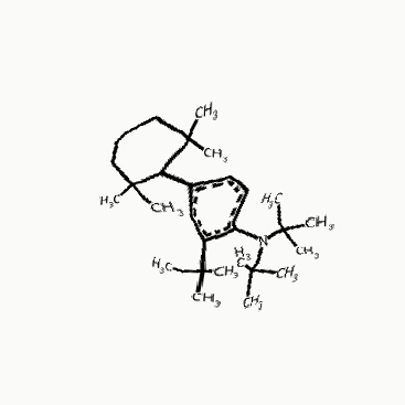 CC(C)(C)c1cc(C2C(C)(C)CCCC2(C)C)ccc1N(C(C)(C)C)C(C)(C)C